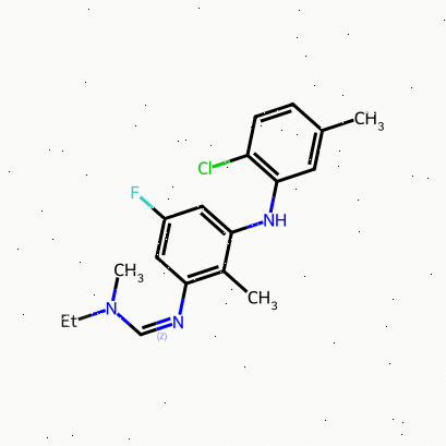 CCN(C)/C=N\c1cc(F)cc(Nc2cc(C)ccc2Cl)c1C